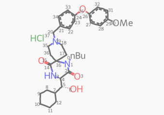 CCCCN1C(=O)[C@@H]([C@H](O)C2CCCCC2)NC(=O)C12CCN(Cc1ccc(Oc3ccc(OC)cc3)cc1)CC2.Cl